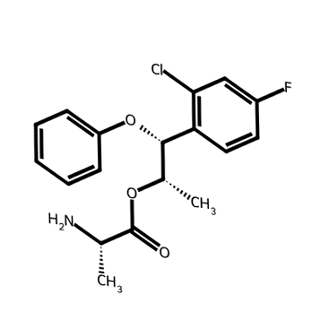 C[C@H](N)C(=O)O[C@@H](C)[C@H](Oc1ccccc1)c1ccc(F)cc1Cl